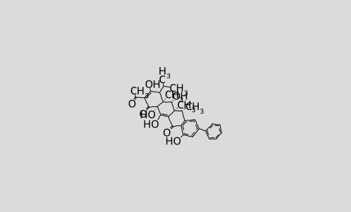 CC(=O)C1=C(O)C(C(C)C)[C@@]2(C)[C@H](O)[C@]3(C)C(=C(O)[C@@]2(O)C1=O)C(=O)c1c(O)cc(-c2ccccc2)cc1[C@H]3C